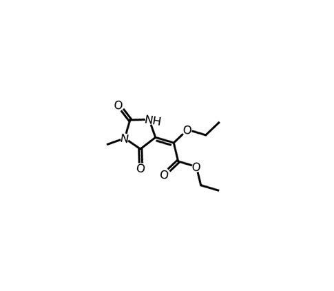 CCOC(=O)C(OCC)=C1NC(=O)N(C)C1=O